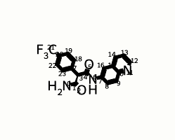 NC(=O)[C@H](C(=O)Nc1ccc2ncccc2c1)c1ccc(C(F)(F)F)cc1